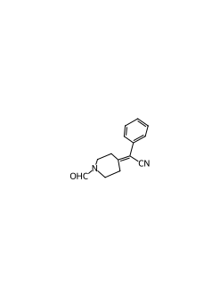 N#CC(=C1CCN(C=O)CC1)c1ccccc1